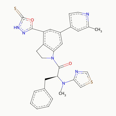 Cc1cc(-c2cc(-c3n[nH]c(=S)o3)c3c(c2)N(C(=O)[C@H](Cc2ccccc2)N(C)c2cscn2)CC3)ccn1